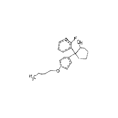 CCCCOc1ccc(C2(c3ccccc3F)CCCCC2O)cc1